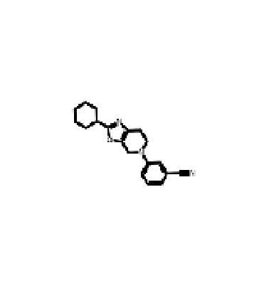 N#Cc1cccc(N2CCc3nc(C4CCCCC4)oc3C2)c1